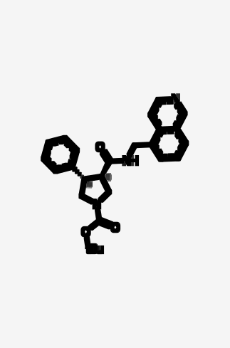 CC(C)(C)OC(=O)N1C[C@H](C(=O)NCc2cccc3cnccc23)[C@@H](c2ccccc2)C1